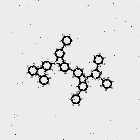 c1ccc(-c2ccc3c(c2)c2cc(-c4ccc5c(c4)c4cc(-c6ccccc6)ccc4n5-c4nc(-c5ccccc5)nc(-c5ccccc5)n4)ccc2n3-c2ccc3c4ccccc4c4ccccc4c3c2)cc1